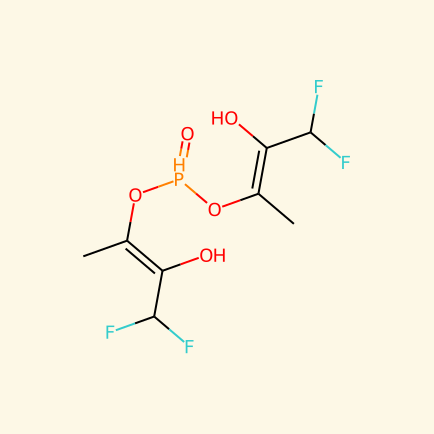 CC(O[PH](=O)OC(C)=C(O)C(F)F)=C(O)C(F)F